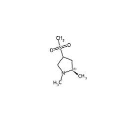 C[C@@H]1CC(S(C)(=O)=O)CN1C